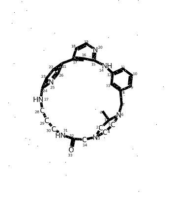 CC1CN2CCN1Cc1cccc(c1)Nc1cc(ccn1)-c1ccc(nc1)NCCCNC(=O)C2